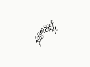 CC(C)N(C(=O)NCC(F)F)c1ccc(NC(=O)N2CCO[C@@H](C(=O)Nc3cc(F)c(C#N)cc3F)C2)cc1C=O